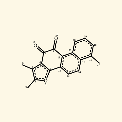 Cc1oc2c(c1C)C(=O)C(=O)c1c-2ccc2c(C)cccc12